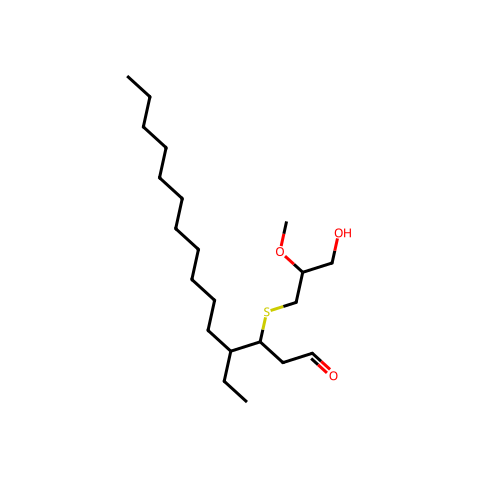 CCCCCCCCCCCC(CC)C(CC=O)SCC(CO)OC